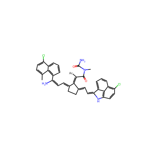 CC(=O)/C(C(=O)N(C)C(N)=O)=C1C(=C\C=C(\N)c2cccc3c(Cl)ccc(C)c23)\CCC\1=C/C=c1/[nH]c2ccc(Cl)c3cccc1c23